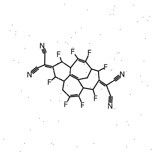 N#CC(C#N)=C1C(F)C2CC3=C4C(CC(F)=C(F)C3C1F)C(F)C(=C(C#N)C#N)C(F)C4C(F)=C2F